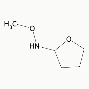 CONC1CCCO1